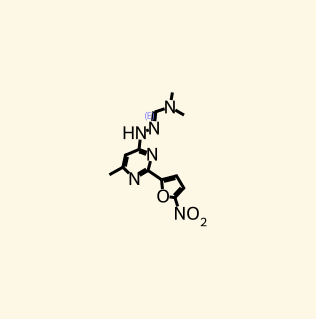 Cc1cc(N/N=C/N(C)C)nc(-c2ccc([N+](=O)[O-])o2)n1